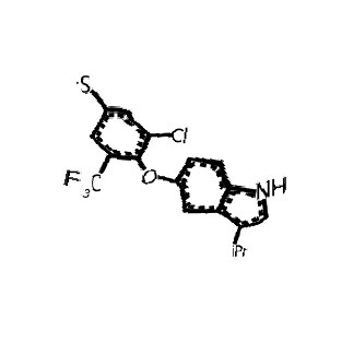 CC(C)c1c[nH]c2ccc(Oc3c(Cl)cc([S])cc3C(F)(F)F)cc12